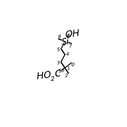 CC(C)(CCC[Si](C)(C)O)C(=O)O